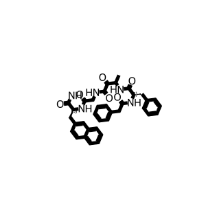 CC(NC(=O)[C@H](Cc1ccccc1)NC(=O)Cc1ccccc1)C(=O)C(=O)NCC(=O)N[C@@H](Cc1ccc2ccccc2c1)C(N)=O